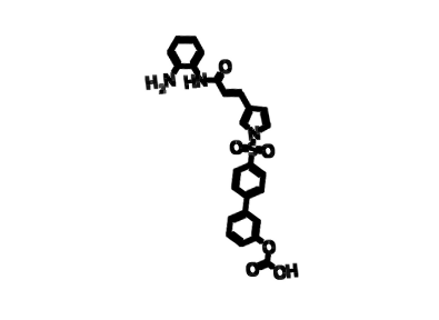 Nc1ccccc1NC(=O)/C=C/c1ccn(S(=O)(=O)c2ccc(-c3cccc(OC(=O)O)c3)cc2)c1